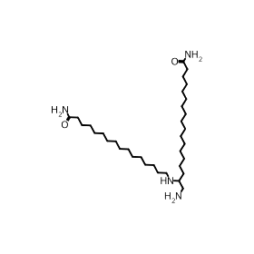 NCC(CCCCCCCCCCCCCCCC(N)=O)NCCCCCCCCCCCCCCCC(N)=O